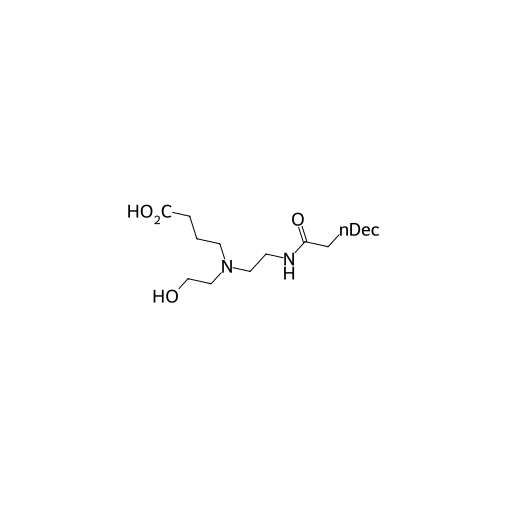 CCCCCCCCCCCC(=O)NCCN(CCO)CCCC(=O)O